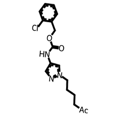 CC(=O)CCCCn1cc(NC(=O)OCc2ccccc2Cl)cn1